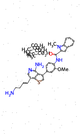 CC(=O)O.CC(=O)O.CC(=O)O.CC(=O)O.COc1cc(-c2csc3c(/C=C/CCN)cnc(N)c23)ccc1NC(=O)c1cc2ccccc2n1C